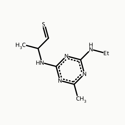 CCNc1nc(C)nc(NC(C)C=S)n1